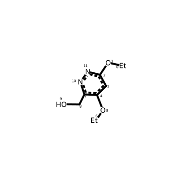 CCOc1cc(OCC)c(CO)nn1